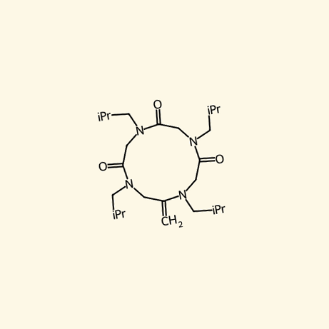 C=C1CN(CC(C)C)C(=O)CN(CC(C)C)C(=O)CN(CC(C)C)C(=O)CN1CC(C)C